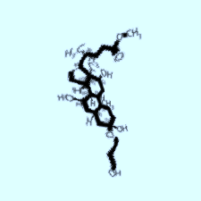 COC(=O)CC[C@@H](C)[C@H]1CC[C@H]2[C@@H]3[C@H](O)C[C@@H]4C[C@@](O)(OCCCO)CC[C@]4(C)[C@H]3C[C@H](O)[C@]12C